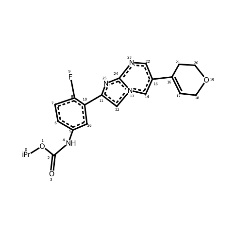 CC(C)OC(=O)Nc1ccc(F)c(-c2cn3cc(C4=CCOCC4)cnc3n2)c1